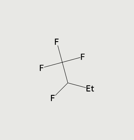 [CH2]CC(F)C(F)(F)F